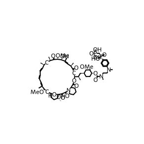 CO[C@H]1C[C@@H]2CC[C@@H](C)[C@@](O)(O2)C(=O)C(=O)N2CCCCC2C(=O)O[C@H]([C@H](C)C[C@@H]2CC[C@@H](OC(=O)N(C)CCN(C)c3ccc(P(=O)(O)CP(=O)(O)O)cc3)[C@H](OC)C2)CC(=O)[C@H](C)/C=C(\C)[C@@H](O)[C@@H](OC)C(=O)[C@H](C)C[C@H](C)/C=C/C=C/C=C/1C